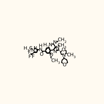 C=C/N=C(/N)c1c(-c2ccc(C(=O)Nc3cc(C(F)(F)F)n(C)n3)cc2OCC)nc([C@H]2CN(C3CCOCC3)[C@@H](C)CO2)n1C